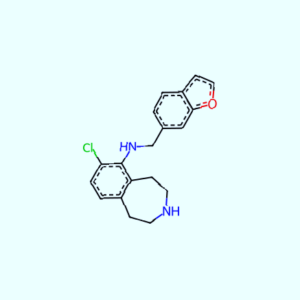 Clc1ccc2c(c1NCc1ccc3ccoc3c1)CCNCC2